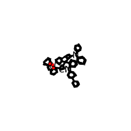 c1ccc(-c2ccc(N3c4ccccc4C4(c5cc(N(c6ccccc6)c6ccccc6)ccc5-c5ccc(N(c6ccccc6)c6ccccc6)cc54)c4cc(-c5ccccc5)ccc43)cc2)cc1